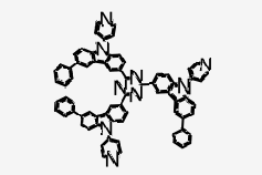 c1ccc(-c2ccc3c(c2)c2cc(-c4nc(-c5ccc6c(c5)c5cc(-c7ccccc7)ccc5n6-c5ccncc5)nc(-c5ccc6c(c5)c5cc(-c7ccccc7)ccc5n6-c5ccncc5)n4)ccc2n3-c2ccncc2)cc1